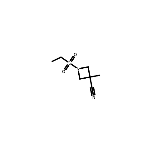 CCS(=O)(=O)N1CC(C)(C#N)C1